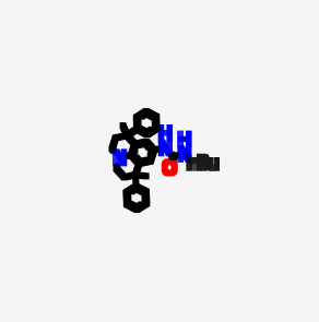 CCCCNC(=O)Nc1cc2c3c(c1)C(C)(c1ccccc1)CCN3CCC2(C)c1ccccc1